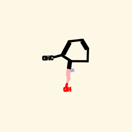 O=CC1=CC=CC/C1=B/O